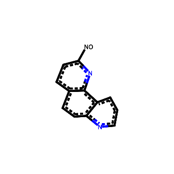 O=Nc1ccc2ccc3ncccc3c2n1